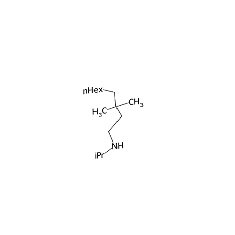 CCCCCCCC(C)(C)CCNC(C)C